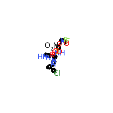 CC1(C)CCC(CN2CCN(c3ccc(C(=O)NS(=O)(=O)c4ccc(OCC5CCCN5C5COC5(F)F)c([N+](=O)[O-])c4)c(Oc4cnc5[nH]ccc5c4)c3)CC2)=C(c2ccc(Cl)cc2)C1